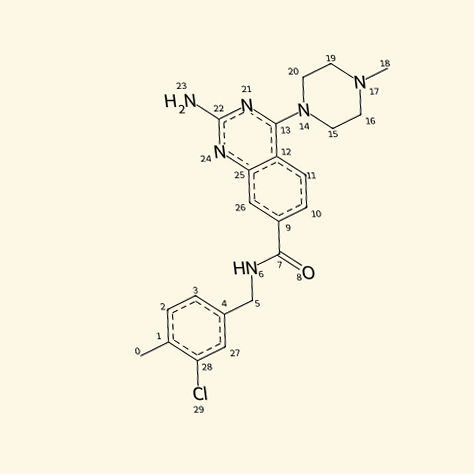 Cc1ccc(CNC(=O)c2ccc3c(N4CCN(C)CC4)nc(N)nc3c2)cc1Cl